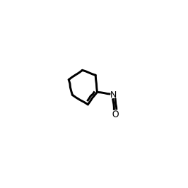 O=NC1=CCCCC1